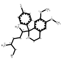 COc1cc2c(cc1OC)C(c1ccc(F)cc1)(C(C)CCC(C)CBr)OCC2